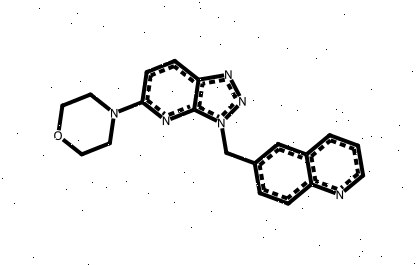 c1cnc2ccc(Cn3nnc4ccc(N5CCOCC5)nc43)cc2c1